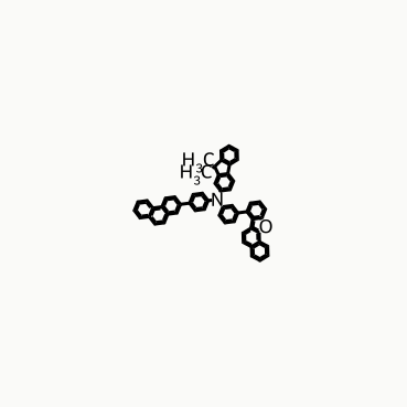 CC1(C)c2ccccc2-c2ccc(N(c3ccc(-c4ccc5c(ccc6ccccc65)c4)cc3)c3cccc(-c4cccc5oc6c7ccccc7ccc6c45)c3)cc21